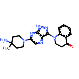 CC1(N)CCN(c2cnc3c(N4CCC(=O)c5ccccc54)n[nH]c3n2)CC1